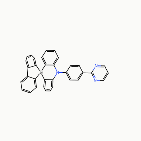 c1cnc(-c2ccc(N3c4ccccc4[Si]4(c5ccccc5-c5ccccc54)c4ccccc43)cc2)nc1